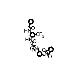 O=C(Cc1ccccc1)Nc1cc(NC(=O)[N-]c2c[n+](Cc3cccc(CN4C(=O)c5ccccc5C4=O)c3)no2)cc(C(F)(F)F)c1